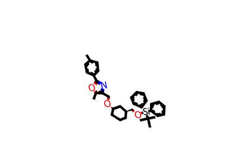 Cc1ccc(-c2nc(CO[C@@H]3CCC[C@H](CO[Si](c4ccccc4)(c4ccccc4)C(C)(C)C)C3)c(C)o2)cc1